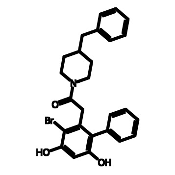 O=C(Cc1c(Br)c(O)cc(O)c1-c1ccccc1)N1CCC(Cc2ccccc2)CC1